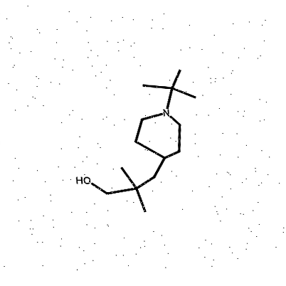 CC(C)(CO)CC1CCN(C(C)(C)C)CC1